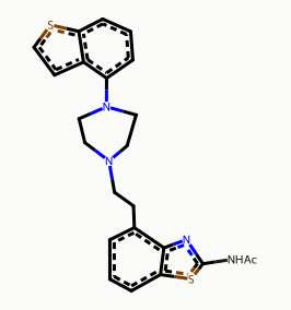 CC(=O)Nc1nc2c(CCN3CCN(c4cccc5sccc45)CC3)cccc2s1